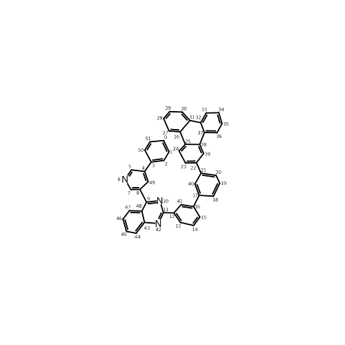 c1ccc(-c2cncc(-c3nc(-c4cccc(-c5cccc(-c6ccc7c8ccccc8c8ccccc8c7c6)c5)c4)nc4ccccc34)c2)cc1